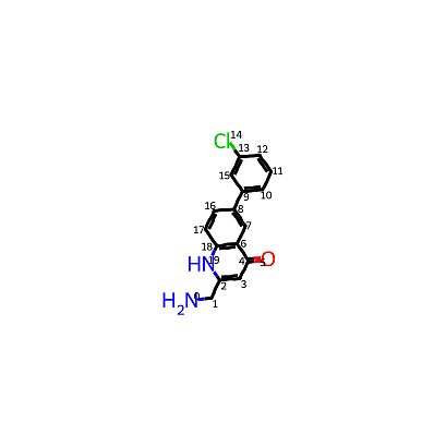 NCc1cc(=O)c2cc(-c3cccc(Cl)c3)ccc2[nH]1